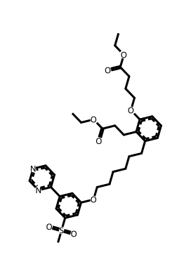 CCOC(=O)CCCOc1cccc(CCCCCCOc2cc(-c3ccncn3)cc(S(C)(=O)=O)c2)c1CCC(=O)OCC